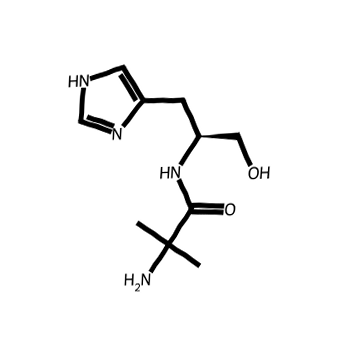 CC(C)(N)C(=O)N[C@H](CO)Cc1c[nH]cn1